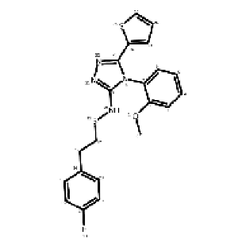 COc1ccccc1-n1c(NSCCc2ccc(F)cc2)nnc1-c1cccs1